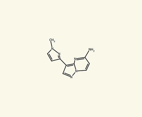 Cn1ccc(-c2cnn3ccc(N)nc23)n1